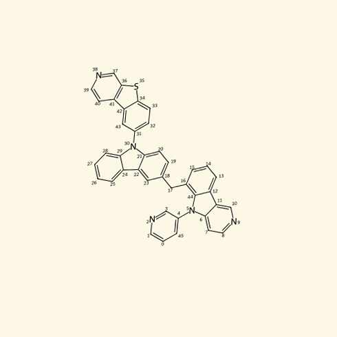 c1cncc(-n2c3ccncc3c3cccc(Cc4ccc5c(c4)c4ccccc4n5-c4ccc5sc6cnccc6c5c4)c32)c1